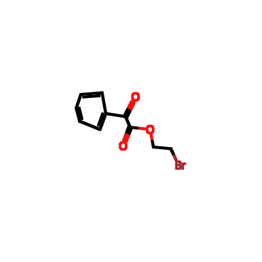 O=C(OCCBr)C(=O)c1ccccc1